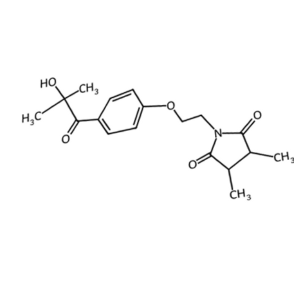 CC1C(=O)N(CCOc2ccc(C(=O)C(C)(C)O)cc2)C(=O)C1C